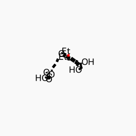 C=C.C=C.C=C.C=C.C=C.C=C.C=C.C=C.C=C.CCOCC.COS(=O)(=O)O.OCCO